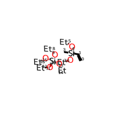 C=C[Si](C)(OCC)OCC.CCO[Si](OCC)(OCC)OCC